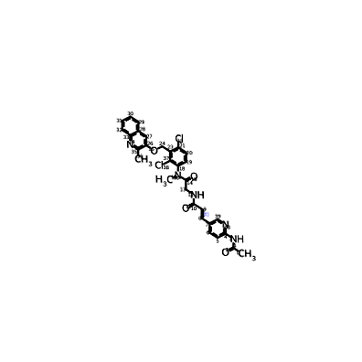 CC(=O)Nc1ccc(/C=C/C(=O)NCC(=O)N(C)c2ccc(Cl)c(COc3cc4ccccc4nc3C)c2Cl)cn1